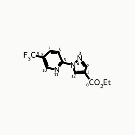 CCOC(=O)c1cnn(-c2ccc(C(F)(F)F)cn2)c1